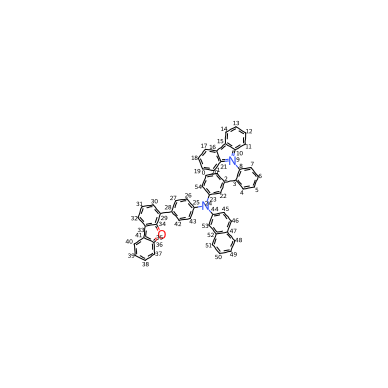 c1cc(-c2ccccc2-n2c3ccccc3c3ccccc32)cc(N(c2ccc(-c3cccc4c3oc3ccccc34)cc2)c2ccc3ccccc3c2)c1